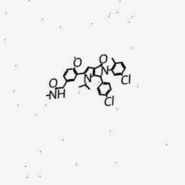 CNC(=O)Cc1ccc(OC)c(-c2cc3c(n2C(C)C)C(c2ccc(Cl)cc2)N(c2cc(Cl)ccc2C)C3=O)c1